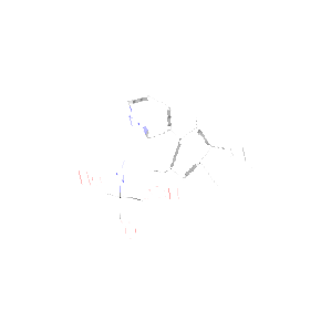 Bc1c(C)cc(C)c(-c2cccnc2)c1C.NC(CO)(CO)CO